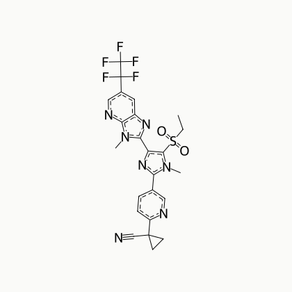 CCS(=O)(=O)c1c(-c2nc3cc(C(F)(F)C(F)(F)F)cnc3n2C)nc(-c2ccc(C3(C#N)CC3)nc2)n1C